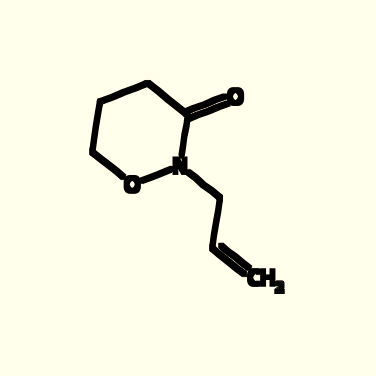 C=CCN1OCCCC1=O